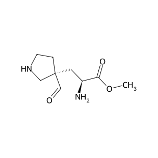 COC(=O)[C@@H](N)C[C@@]1(C=O)CCNC1